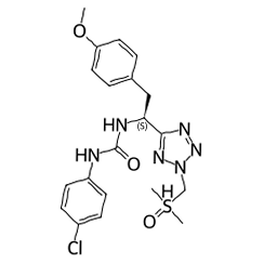 COc1ccc(C[C@H](NC(=O)Nc2ccc(Cl)cc2)c2nnn(C[SH](C)(C)=O)n2)cc1